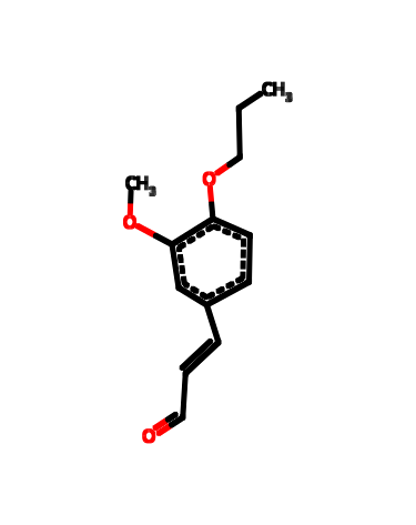 CCCOc1ccc(C=CC=O)cc1OC